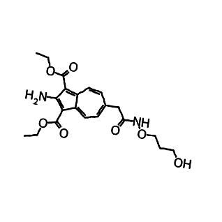 CCOC(=O)c1c2ccc(CC(=O)NOCCCO)ccc-2c(C(=O)OCC)c1N